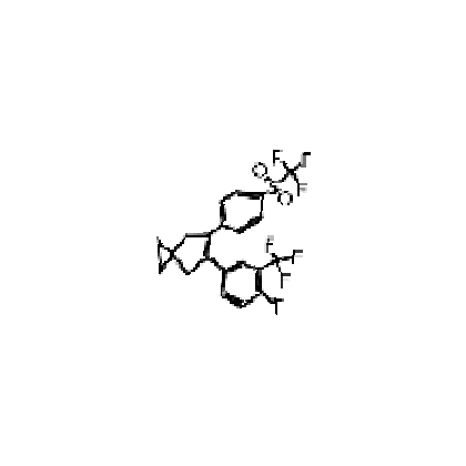 O=S(=O)(c1ccc(C2=C(c3ccc(F)c(C(F)(F)F)c3)CC3(CC3)C2)cc1)C(F)(F)F